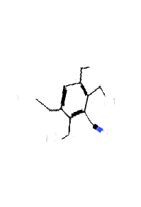 CCc1cc(CC)c(CC)c(C#N)c1CC